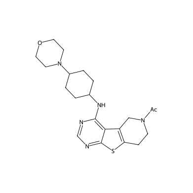 CC(=O)N1CCc2sc3ncnc(NC4CCC(N5CCOCC5)CC4)c3c2C1